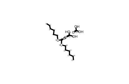 CCCCCCOC(=O)OCCCCCC.O=C(O)O.O=C(O)O